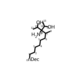 CCCCCCCCCCCCCCCCC(C)C(N)(C(C)O)C(C)O